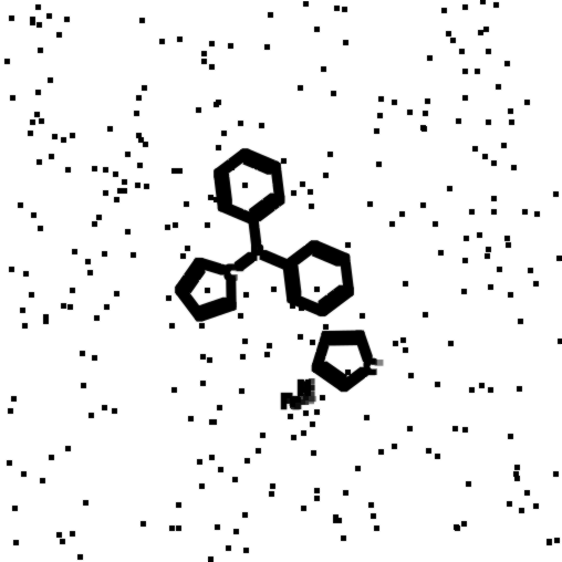 [Fe+2].[N].c1cc[cH-]c1.c1ccc(P(c2ccccc2)[c-]2cccc2)cc1